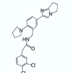 O=C(Cc1ccc(Cl)c(Cl)c1)NCc1cc(-c2cn3c(n2)CCC3)ccc1N1CCCC1